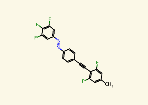 Cc1cc(F)c(C#Cc2ccc(N=Nc3cc(F)c(F)c(F)c3)cc2)c(F)c1